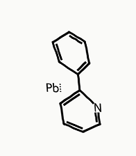 [Pb].c1ccc(-c2ccccn2)cc1